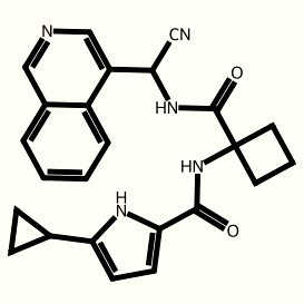 N#CC(NC(=O)C1(NC(=O)c2ccc(C3CC3)[nH]2)CCC1)c1cncc2ccccc12